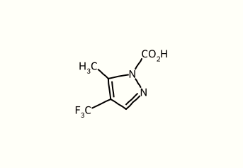 Cc1c(C(F)(F)F)cnn1C(=O)O